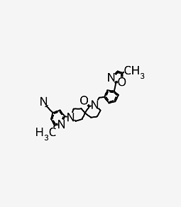 Cc1cc(C#N)cc(N2CCC3(CCCN(Cc4cccc(-c5ncc(C)o5)c4)C3=O)CC2)n1